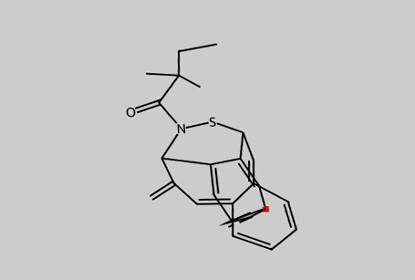 C=C1/C=c2/cccc/c2=C/C2SN(C(=O)C(C)(C)CC)C1c1cc3ccccc3cc12